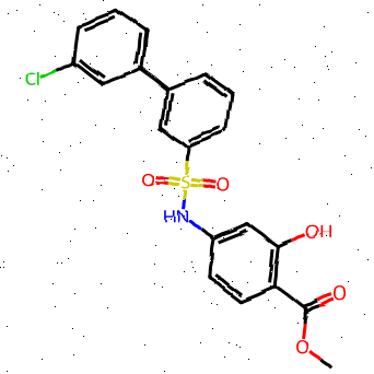 COC(=O)c1ccc(NS(=O)(=O)c2cccc(-c3cccc(Cl)c3)c2)cc1O